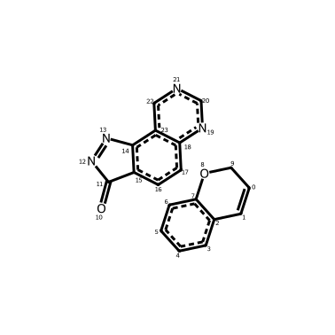 C1=Cc2ccccc2OC1.O=C1N=Nc2c1ccc1ncncc21